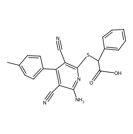 Cc1ccc(-c2c(C#N)c(N)nc(SC(C(=O)O)c3ccccc3)c2C#N)cc1